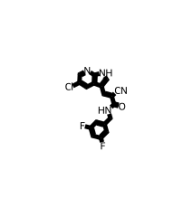 N#C/C(=C\c1c[nH]c2ncc(Cl)cc12)C(=O)NCc1cc(F)cc(F)c1